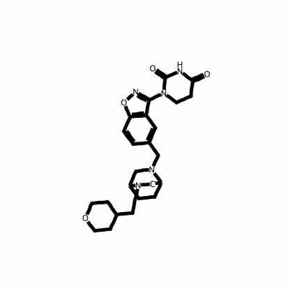 O=C1CCN(c2noc3ccc(CN4CC5CCC4CN5CC4CCOCC4)cc23)C(=O)N1